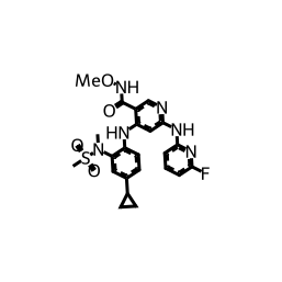 CONC(=O)c1cnc(Nc2cccc(F)n2)cc1Nc1ccc(C2CC2)cc1N(C)S(C)(=O)=O